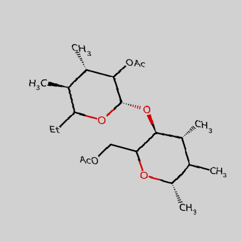 CCC1O[C@@H](O[C@@H]2C(COC(C)=O)O[C@@H](C)C(C)[C@H]2C)C(OC(C)=O)[C@@H](C)[C@@H]1C